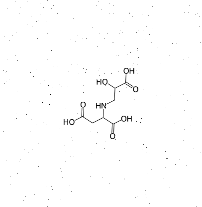 O=C(O)CC(NCC(O)C(=O)O)C(=O)O